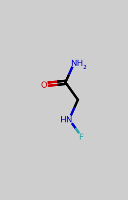 NC(=O)CNF